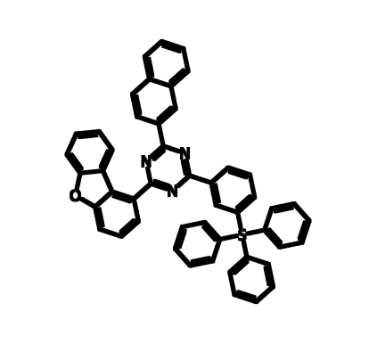 c1ccc(S(c2ccccc2)(c2ccccc2)c2cccc(-c3nc(-c4ccc5ccccc5c4)nc(-c4cccc5oc6ccccc6c45)n3)c2)cc1